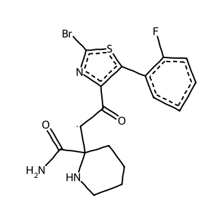 NC(=O)C1([CH]C(=O)c2nc(Br)sc2-c2ccccc2F)CCCCN1